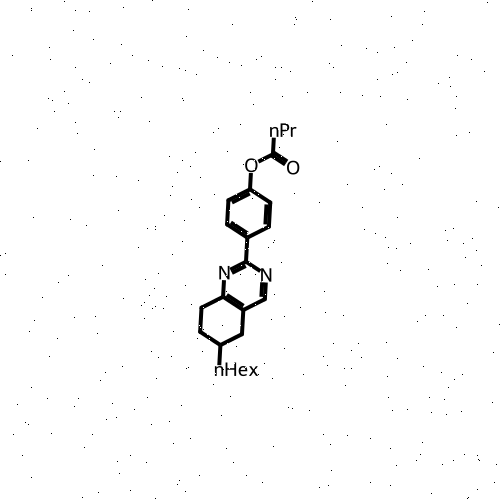 CCCCCCC1CCc2nc(-c3ccc(OC(=O)CCC)cc3)ncc2C1